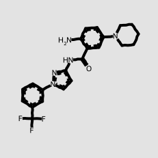 Nc1ccc(N2CCCCC2)cc1C(=O)Nc1ccn(-c2cccc(C(F)(F)F)c2)n1